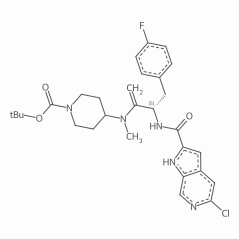 C=C([C@H](Cc1ccc(F)cc1)NC(=O)c1cc2cc(Cl)ncc2[nH]1)N(C)C1CCN(C(=O)OC(C)(C)C)CC1